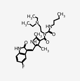 CCCCNC(=O)N(CCN(CC)CC)C(=O)c1c(C)[nH]c(C=C2C(=O)Nc3ccc(F)cc32)c1C